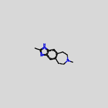 Cc1nc2cc3c(cc2[nH]1)CCN(C)CC3